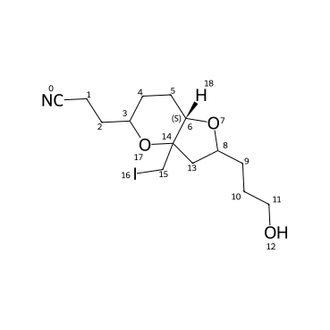 N#CCCC1CC[C@@H]2OC(CCCO)CC2(CI)O1